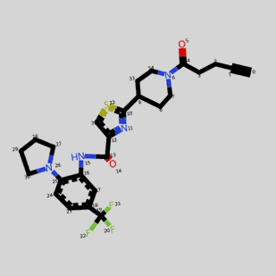 C#CCCC(=O)N1CCC(c2nc(C(=O)Nc3cc(C(F)(F)F)ccc3N3CCCC3)cs2)CC1